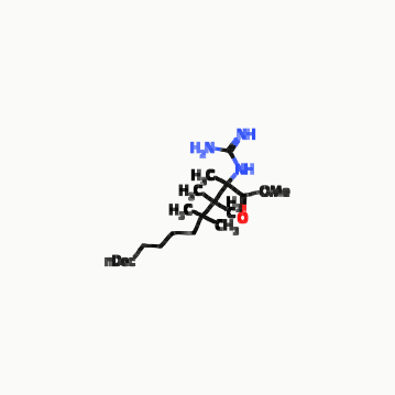 CCCCCCCCCCCCCCC(C)(C)C(C)(C)C(C)(NC(=N)N)C(=O)OC